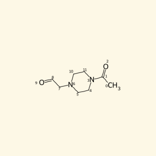 CC(=O)N1CCN(CC=O)CC1